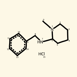 CN1CCCCC1NCc1ccccc1.Cl